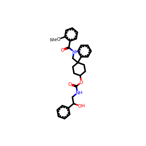 COc1ccccc1C(=O)NCC1(c2ccccc2)CCC(OC(=O)NCC(O)c2ccccc2)CC1